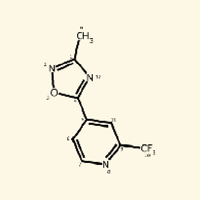 Cc1noc(-c2ccnc(C(F)(F)F)c2)n1